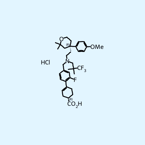 COc1ccc([C@]2(CCN(Cc3ccc(C4=CC[C@H](C(=O)O)CC4)c(F)c3)CC(C)(C)C(F)(F)F)CCOC(C)(C)C2)cc1.Cl